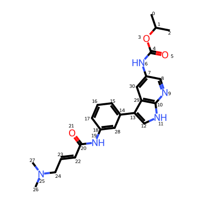 CC(C)OC(=O)Nc1cnc2[nH]cc(-c3cccc(NC(=O)C=CCN(C)C)c3)c2c1